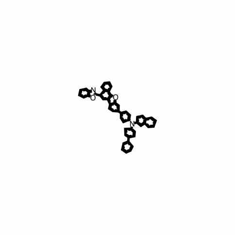 c1ccc(-c2ccc(N(c3ccc(-c4ccc5c(c4)oc4c6ccccc6c(-c6nc7ccccc7o6)cc54)cc3)c3ccc4ccccc4c3)cc2)cc1